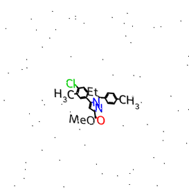 CCC(c1ccc(C)cc1)n1nc(C(=O)OC)cc1-c1ccc(Cl)c(C)c1